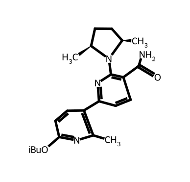 Cc1nc(OCC(C)C)ccc1-c1ccc(C(N)=O)c(N2[C@H](C)CC[C@@H]2C)n1